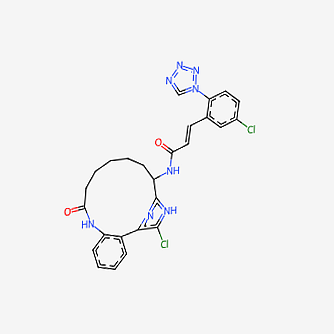 O=C(C=Cc1cc(Cl)ccc1-n1cnnn1)NC1CCCCCC(=O)Nc2ccccc2-c2nc1[nH]c2Cl